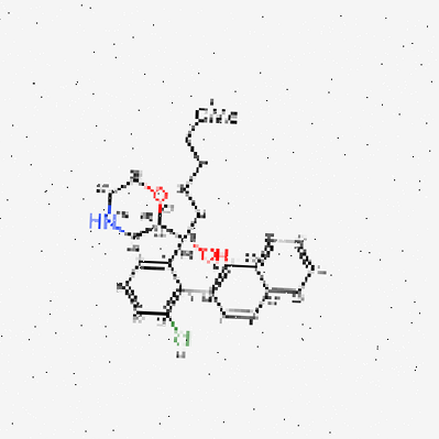 COCCCC[C@@](O)(c1cccc(Cl)c1-c1ccc2ccccc2c1)[C@H]1CNCCO1